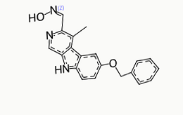 Cc1c(/C=N\O)ncc2[nH]c3ccc(OCc4ccccc4)cc3c12